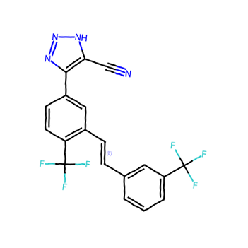 N#Cc1[nH]nnc1-c1ccc(C(F)(F)F)c(/C=C/c2cccc(C(F)(F)F)c2)c1